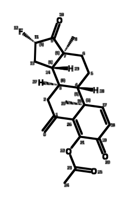 C=C1C[C@@H]2[C@H](CC[C@]3(C)C(=O)[C@@H](F)C[C@@H]23)[C@@]2(C)C=CC(=O)C(OC(C)=O)=C12